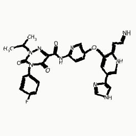 CC(C)n1nc(C(=O)Nc2ccc(OC3=CC(c4c[nH]cn4)=CN/C3=C\C=N)cn2)c(=O)n(-c2ccc(F)cc2)c1=O